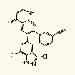 N#Cc1cccc(-c2nc3[nH]ccc(=O)c3cc2-c2cc(Cl)c3[nH]nc(Cl)c3c2)c1